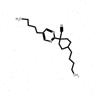 CCCCCc1cnc(C2(C#N)CCC(CCCCC)CC2)nc1